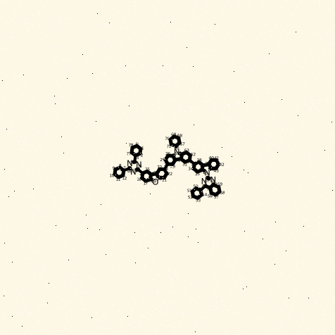 c1ccc(-c2nc(-c3ccccc3)nc(-c3ccc4oc5ccc(-c6ccc7c(c6)c6cc(-c8ccc9c(c8)c8ccccc8n9-c8nc(-c9ccccc9)c9ccccc9n8)ccc6n7-c6ccccc6)cc5c4c3)n2)cc1